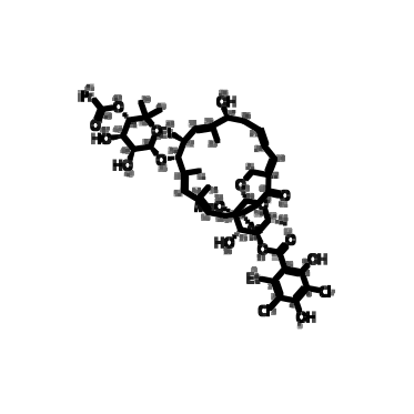 CCc1c(Cl)c(O)c(Cl)c(O)c1C(=O)O[C@H]1[C@H](O)[C@H](OC)[C@H](OC/C2=C\C=C\C[C@H](O)/C(C)=C/[C@H](CC)[C@@H](O[C@@H]3OC(C)(C)[C@@H](OC(=O)C(C)C)[C@H](O)[C@@H]3O)/C(C)=C/C(C)=C/C[C@@H](C(C)=O)CC2=O)O[C@@H]1C